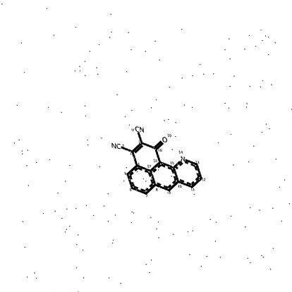 N#CC1=C(C#N)c2cccc3cc4cccnc4c(c23)C1=O